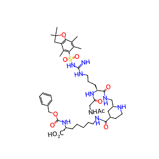 CC(=O)NCC(=O)N[C@@H](CCCNC(=N)NS(=O)(=O)c1c(C)c(C)c2c(c1C)CC(C)(C)O2)C(=O)NCC1CC(C(=O)NCCCCC[C@H](NC(=O)OCc2ccccc2)C(=O)O)CCN1